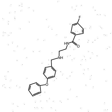 O=C(NCCNCc1ccc(Oc2ccccc2)cc1)c1ccc(F)cc1